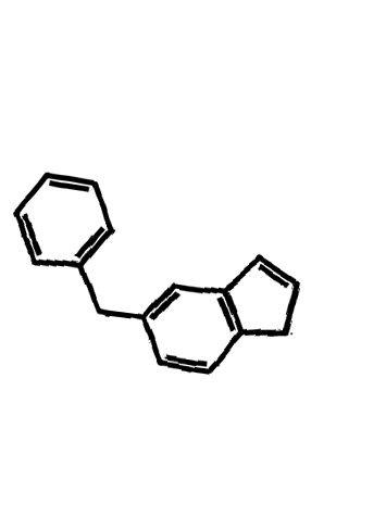 [CH]1C=Cc2cc(Cc3ccccc3)ccc21